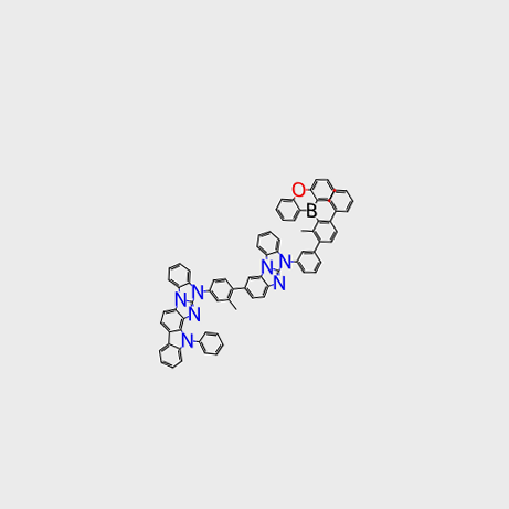 Cc1cc(-n2c3ccccc3n3c4ccc5c6ccccc6n(-c6ccccc6)c5c4nc23)ccc1-c1ccc2nc3n(-c4cccc(-c5ccc(-c6ccccc6)c(B6c7ccccc7Oc7ccccc76)c5C)c4)c4ccccc4n3c2c1